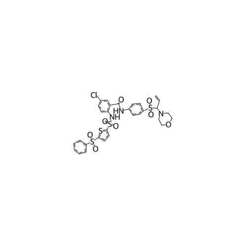 C=CC(N1CCOCC1)S(=O)(=O)c1ccc(NC(=O)c2cc(Cl)ccc2NS(=O)(=O)c2ccc(S(=O)(=O)c3ccccc3)s2)cc1